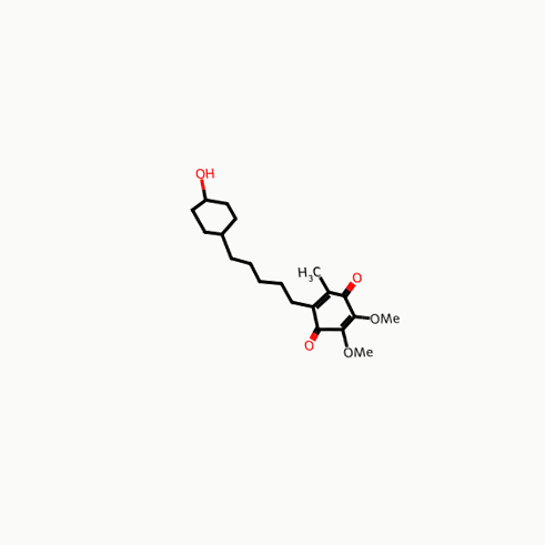 COC1=C(OC)C(=O)C(CCCCCC2CCC(O)CC2)=C(C)C1=O